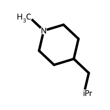 CC(C)CC1CCN(C)CC1